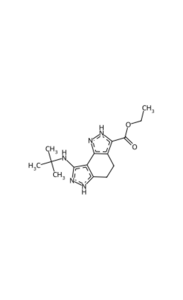 CCOC(=O)c1[nH]nc2c1CCc1[nH]nc(NC(C)(C)C)c1-2